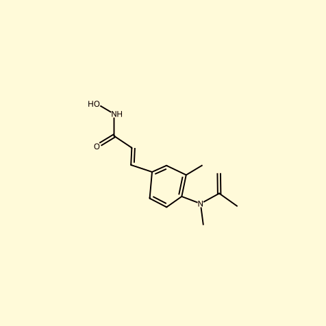 C=C(C)N(C)c1ccc(/C=C/C(=O)NO)cc1C